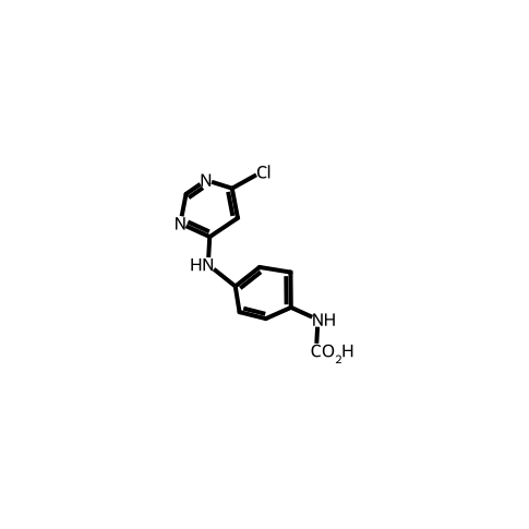 O=C(O)Nc1ccc(Nc2cc(Cl)ncn2)cc1